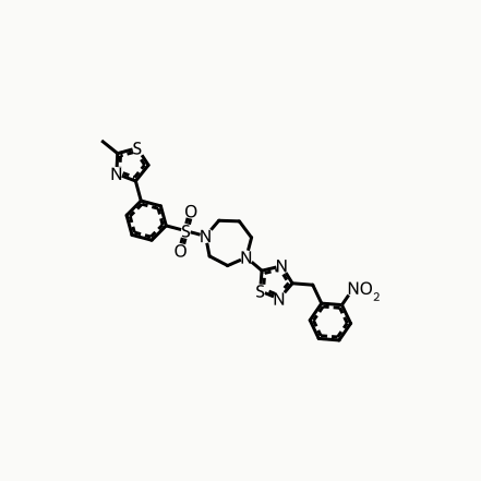 Cc1nc(-c2cccc(S(=O)(=O)N3CCCN(c4nc(Cc5ccccc5[N+](=O)[O-])ns4)CC3)c2)cs1